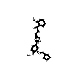 CCOc1ccccc1C(=O)CCc1coc(-c2ccc(OC)c(OCC3CCCC3)c2)n1